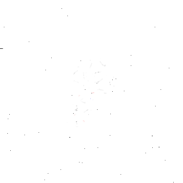 CN1C(=O)[C@@H](C(c2ccccc2)(c2ccccc2)c2ccccc2)COc2cc3c(cc21)OC(F)(F)O3